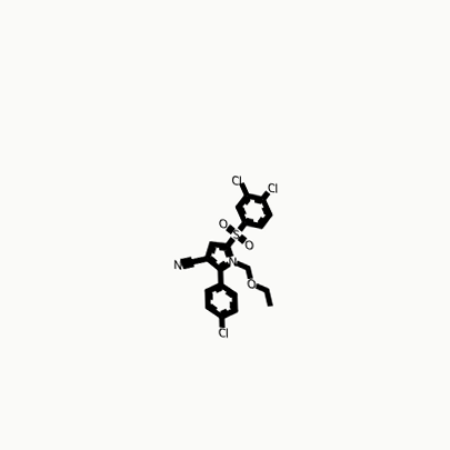 CCOCn1c(S(=O)(=O)c2ccc(Cl)c(Cl)c2)cc(C#N)c1-c1ccc(Cl)cc1